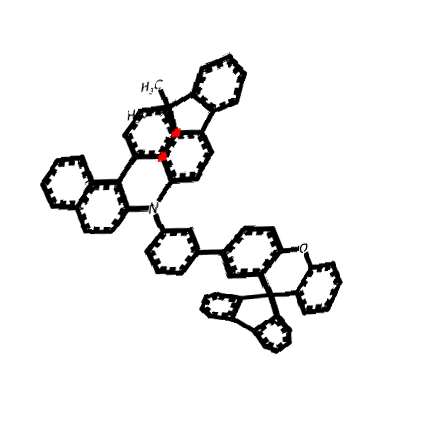 CC1(C)c2ccccc2-c2ccc(N(c3cccc(-c4ccc5c(c4)C4(c6ccccc6O5)c5ccccc5-c5ccccc54)c3)c3ccc4ccccc4c3-c3ccccc3)cc21